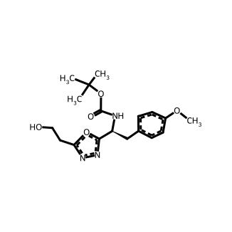 COc1ccc(C[C@H](NC(=O)OC(C)(C)C)c2nnc(CCO)o2)cc1